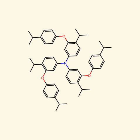 CC(C)c1ccc(Oc2cc(N(c3ccc(C(C)C)c(Oc4ccc(C(C)C)cc4)c3)c3ccc(C(C)C)c(Oc4ccc(C(C)C)cc4)c3)ccc2C(C)C)cc1